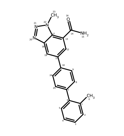 Cc1ccccc1-c1ccc(-c2cc(C(N)=O)c3c(c2)nnn3C)cc1